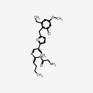 C\C=C(/C=N\C(=C\CCC)NC(=O)CN)c1ccc(Cc2c(Cl)cc(OC)cc2CC)o1